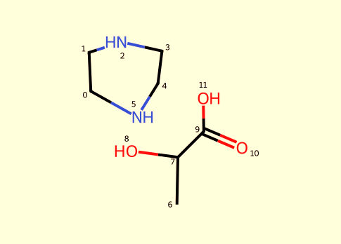 C1CNCCN1.CC(O)C(=O)O